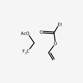 C=COC(=O)CC.CC(=O)OCC(F)(F)F